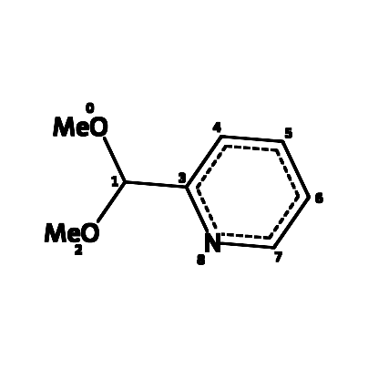 COC(OC)c1ccccn1